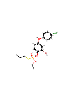 CCCSP(=O)(OCC)Oc1ccc(Oc2ccc(Cl)cc2)cc1Br